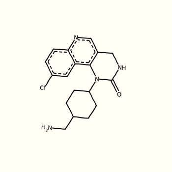 NCC1CCC(N2C(=O)NCc3cnc4ccc(Cl)cc4c32)CC1